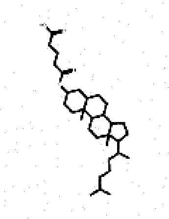 CC(C)CCCC(C)C1CCC2C3CCC4CC(OC(=O)CCCC(=O)O)CCC4(C)C3CCC12C